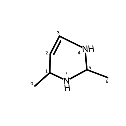 CC1C=CNC(C)N1